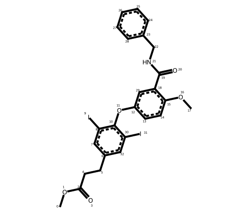 COC(=O)CCc1cc(I)c(Oc2ccc(OC)c(C(=O)NCc3ccccc3)c2)c(I)c1